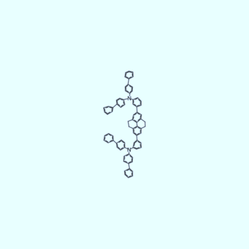 c1ccc(-c2ccc(N(c3ccc(-c4ccccc4)cc3)c3cccc(-c4cc5c6c(c4)CCc4cc(-c7cccc(N(c8ccc(-c9ccccc9)cc8)c8ccc(-c9ccccc9)cc8)c7)cc(c4-6)CC5)c3)cc2)cc1